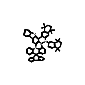 CC1(C)CCC(C)(C)c2cc(N3B4c5cccc6c5N(c5ccccc5C65c6ccccc6-c6ccccc65)c5cc6c(oc7ccccc76)c(c54)-c4cc5c(cc43)C(C)(C)CCC5(C)C)ccc21